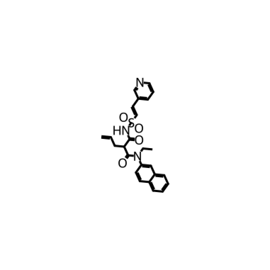 C=CCC(C(=O)NS(=O)(=O)/C=C/c1cccnc1)C(=O)N(CC)c1ccc2ccccc2c1